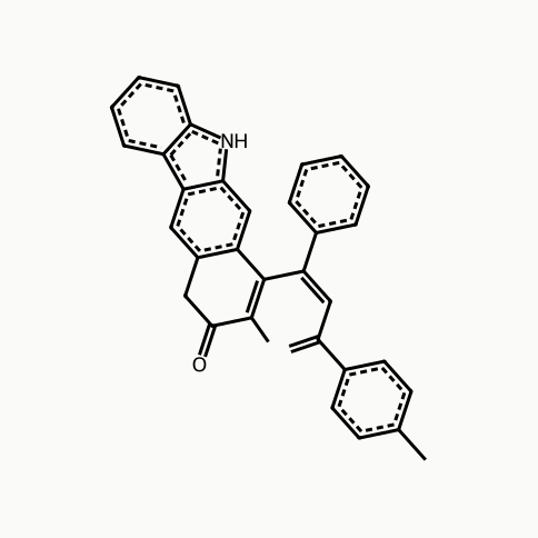 C=C(/C=C(\C1=C(C)C(=O)Cc2cc3c(cc21)[nH]c1ccccc13)c1ccccc1)c1ccc(C)cc1